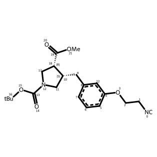 [C-]#[N+]CCOc1cccc(C[C@@H]2CN(C(=O)OC(C)(C)C)C[C@@H]2C(=O)OC)c1